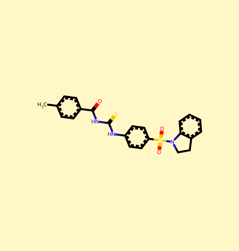 Cc1ccc(C(=O)NC(=S)Nc2ccc(S(=O)(=O)N3CCc4ccccc43)cc2)cc1